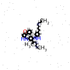 C=C/C=C\CC=Cc1ccc(Nc2ccc(NC3C=Cc4oc5ccccc5c43)cc2C(C)/C=C\C=C/C)cc1